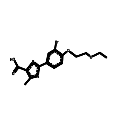 CCOCCOc1ccc(-c2nc(C)c(C(=O)O)s2)cc1Br